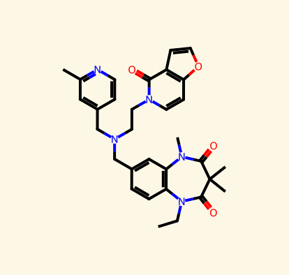 CCN1C(=O)C(C)(C)C(=O)N(C)c2cc(CN(CCn3ccc4occc4c3=O)Cc3ccnc(C)c3)ccc21